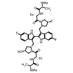 CC[C@H](NC(=O)[C@H](C)NC)C(=O)N1C[C@@H](O)C[C@H]1Cc1c(-c2[nH]c3cc(F)ccc3c2C[C@@H]2C[C@H](F)CN2C(=O)[C@H](CC)NC(=O)[C@H](C)NC)[nH]c2cc(F)ccc12